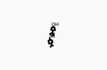 CC(C)c1ccc(Cn2cc(-c3ccc(O)cc3)nn2)cc1